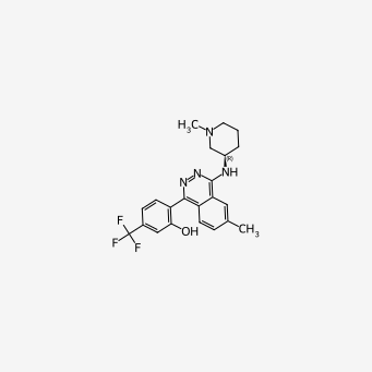 Cc1ccc2c(-c3ccc(C(F)(F)F)cc3O)nnc(N[C@@H]3CCCN(C)C3)c2c1